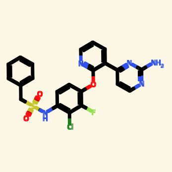 Nc1nccc(-c2cccnc2Oc2ccc(NS(=O)(=O)Cc3ccccc3)c(Cl)c2F)n1